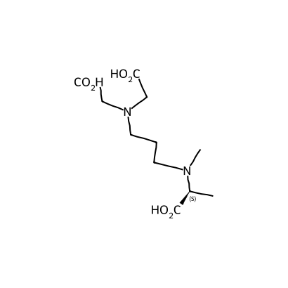 C[C@@H](C(=O)O)N(C)CCCN(CC(=O)O)CC(=O)O